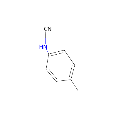 Cc1ccc(NC#N)cc1